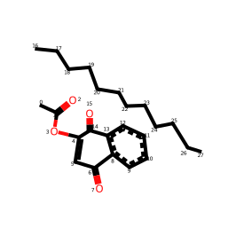 CC(=O)OC1=CC(=O)c2ccccc2C1=O.CCCCCCCCCCCC